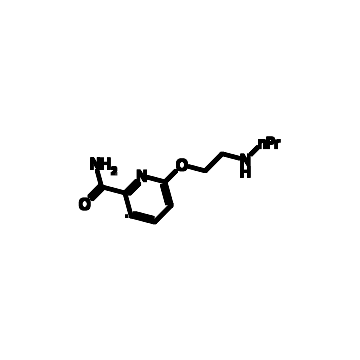 CCCNCCOc1cc[c]c(C(N)=O)n1